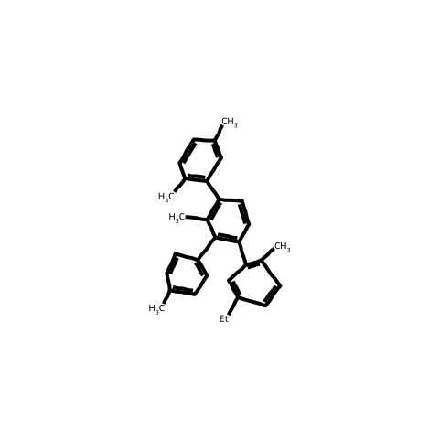 CCc1ccc(C)c(-c2[c]cc(-c3cc(C)ccc3C)c(C)c2-c2ccc(C)cc2)c1